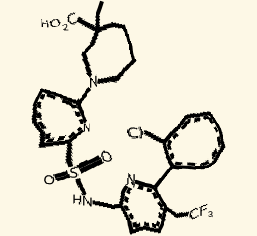 CC1(C(=O)O)CCCN(c2cccc(S(=O)(=O)Nc3ccc(C(F)(F)F)c(-c4ccccc4Cl)n3)n2)C1